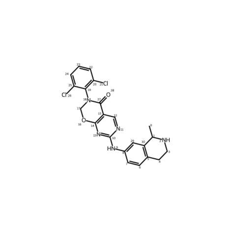 CC1NCCc2ccc(Nc3ncc4c(n3)OCN(c3c(Cl)cccc3Cl)C4=O)cc21